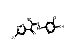 CC(C)(C)c1cc(C(=O)C(C#N)=NNc2ccc(O)c(Cl)c2)no1